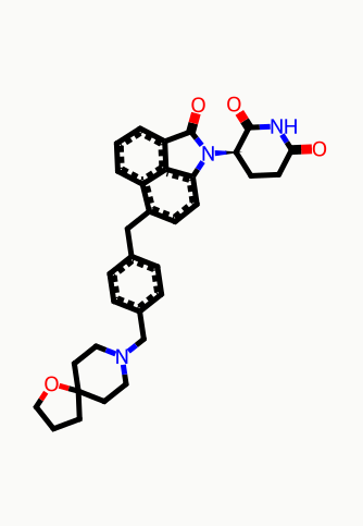 O=C1CC[C@@H](N2C(=O)c3cccc4c(Cc5ccc(CN6CCC7(CCCO7)CC6)cc5)ccc2c34)C(=O)N1